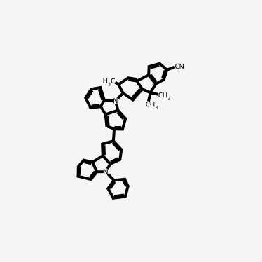 CC1C=C2C(=CC1n1c3ccccc3c3cc(-c4ccc5c(c4)c4ccccc4n5-c4ccccc4)ccc31)C(C)(C)c1cc(C#N)ccc12